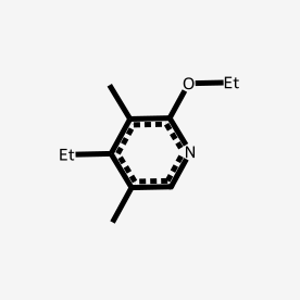 CCOc1ncc(C)c(CC)c1C